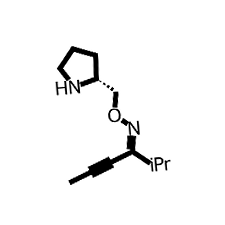 CC#C/C(=N\OC[C@H]1CCCN1)C(C)C